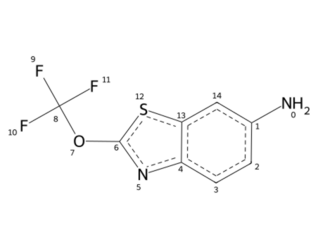 Nc1ccc2nc(OC(F)(F)F)sc2c1